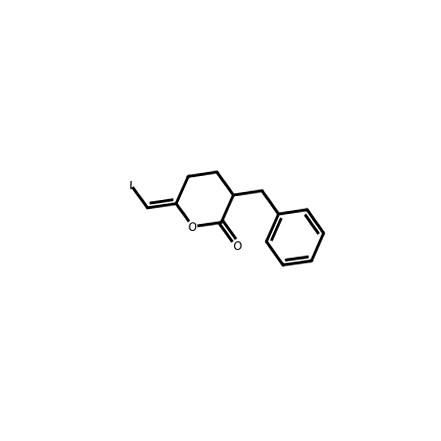 O=C1OC(=CI)CCC1Cc1ccccc1